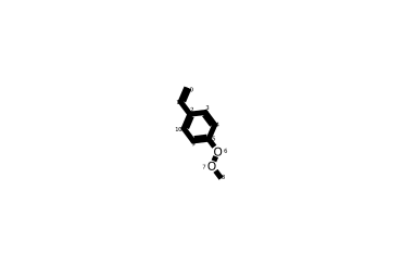 [CH]=Cc1ccc(OOC)cc1